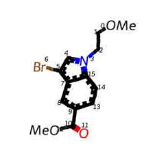 COCCn1cc(Br)c2cc(C(=O)OC)ccc21